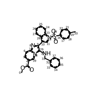 COC(=O)c1ccc2nc(-c3cn(S(=O)(=O)c4ccc(C)cc4)c4ccccc34)c(NCc3ccccc3)n2c1